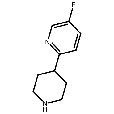 Fc1ccc(C2CCNCC2)nc1